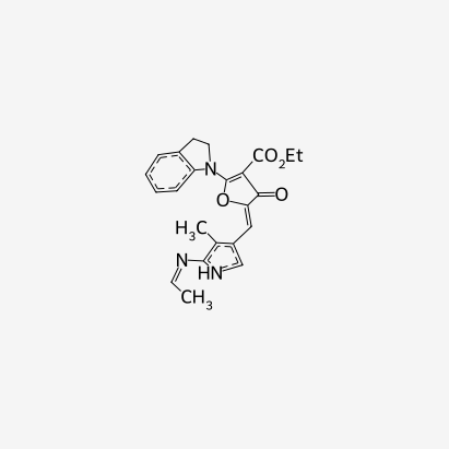 C/C=N\c1[nH]cc(/C=C2\OC(N3CCc4ccccc43)=C(C(=O)OCC)C2=O)c1C